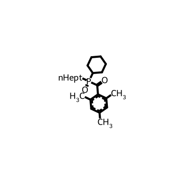 CCCCCCCP(=O)(C(=O)c1c(C)cc(C)cc1C)C1CCCCC1